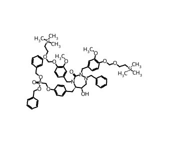 COc1cc(CN2C(=O)N(Cc3ccc(OCOCC[Si](C)(C)C)c(OC)c3)N(Cc3ccccc3)C[C@@H](O)[C@H]2Cc2ccc(OCP(=O)(OCc3ccccc3)OCc3ccccc3)cc2)ccc1OCOCC[Si](C)(C)C